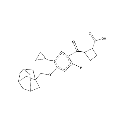 O=C(O)[C@@H]1CC[C@H]1C(=O)c1cc(C2CC2)c(OCC23CC4CC(CC(C4)C2)C3)cc1F